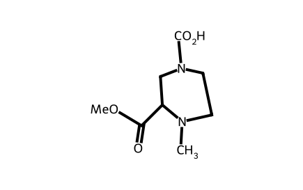 COC(=O)C1CN(C(=O)O)CCN1C